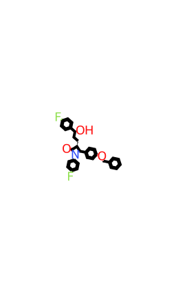 O=C1[C@H](CC[C@H](O)c2ccc(F)cc2)C(c2ccc(OCc3ccccc3)cc2)N1c1ccc(F)cc1